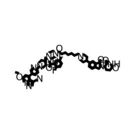 CCOc1cc(-c2ccc(N3CCC(CN4CCN(C(=O)CCCCCCN5CCC(c6ccc7c(c6)C(=O)N(C6CCC(=O)NC6=O)C7)CC5)CC4)(NC(=O)c4cc(F)ccc4F)CC3)nc2)c2c(C#N)cnn2c1